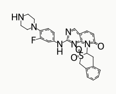 O=c1ccc2cnc(Nc3ccc(N4CCNCC4)c(F)c3)nc2n1C1Cc2ccccc2CS1(=O)=O